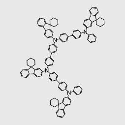 c1ccc(N(c2ccc(-c3ccc(N(c4ccc(-c5ccc(N(c6ccc(-c7ccc(N(c8ccccc8)c8ccc9c(c8)C8(CCCCC8)c8ccccc8-9)cc7)cc6)c6ccc7c(c6)C6(CCCCC6)c6ccccc6-7)cc5)cc4)c4ccc5c(c4)C4(CCCCC4)c4ccccc4-5)cc3)cc2)c2ccc3c(c2)C2(CCCCC2)c2ccccc2-3)cc1